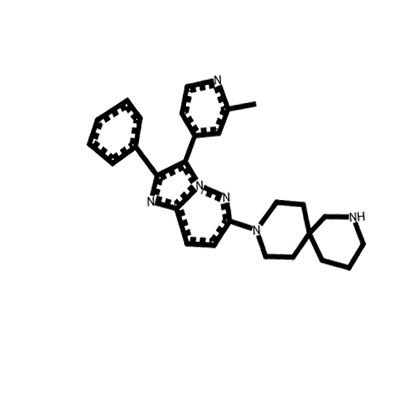 Cc1cc(-c2c(-c3ccccc3)nc3ccc(N4CCC5(CCCNC5)CC4)nn23)ccn1